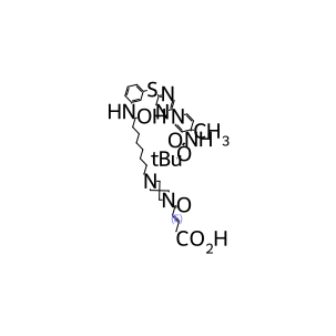 CC1(NC(=O)OC(C)(C)C)C=CN(c2cnc(Sc3cccc(NC(O)CCCCCCCN4CC5(C4)CN(C(=O)/C=C/CC(=O)O)C5)c3)cn2)C=C1